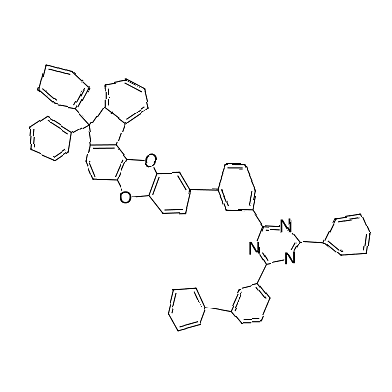 c1ccc(-c2cccc(-c3nc(-c4ccccc4)nc(-c4cccc(-c5ccc6c(c5)Oc5c(ccc7c5-c5ccccc5C7(c5ccccc5)c5ccccc5)O6)c4)n3)c2)cc1